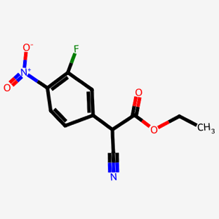 CCOC(=O)C(C#N)c1ccc([N+](=O)[O-])c(F)c1